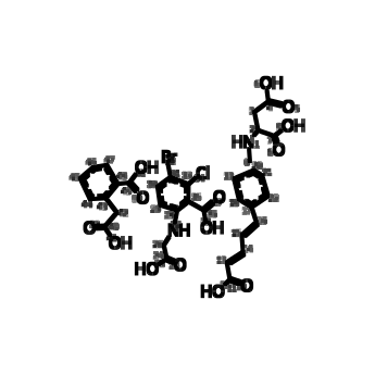 CNC(CC(=O)O)C(=O)O.O=C(O)C=CC=Cc1ccccc1.O=C(O)CNc1ccc(Br)c(Cl)c1C(=O)O.O=C(O)Cc1ccccc1C(=O)O